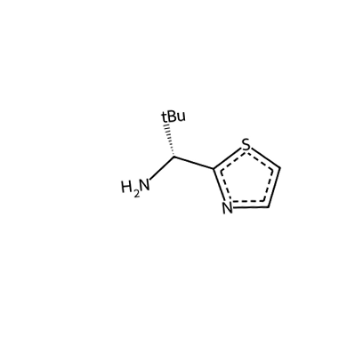 CC(C)(C)[C@@H](N)c1nccs1